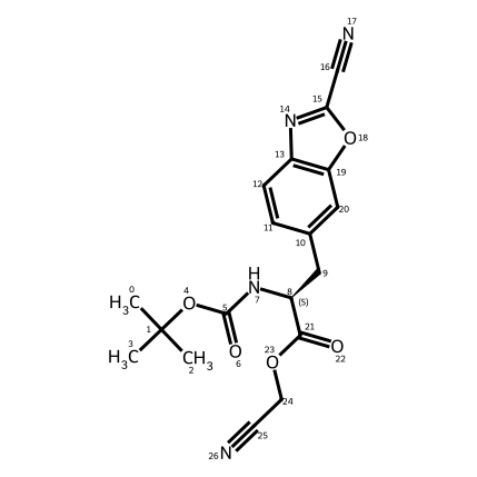 CC(C)(C)OC(=O)N[C@@H](Cc1ccc2nc(C#N)oc2c1)C(=O)OCC#N